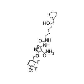 CCc1ccc(COc2nsc(NC(=O)NCCCCC(O)CN3CCCCC3)c2C(N)=O)c(F)c1F